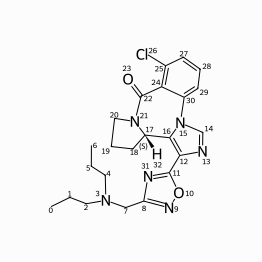 CCCN(CCC)Cc1noc(-c2ncn3c2[C@@H]2CCCN2C(=O)c2c(Cl)cccc2-3)n1